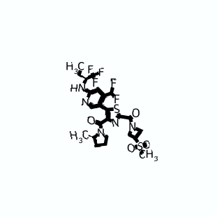 CC[C@H](Nc1cc(C(F)F)c(-c2sc(C(=O)N3CC(S(C)(=O)=O)C3)nc2C(=O)N2CCC[C@@H]2C)cn1)C(F)(F)F